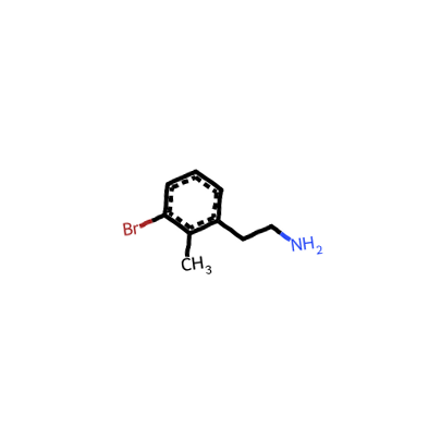 Cc1c(Br)cccc1CCN